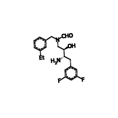 CCc1cccc(CN(C=O)C[C@@H](O)[C@@H](N)Cc2cc(F)cc(F)c2)c1